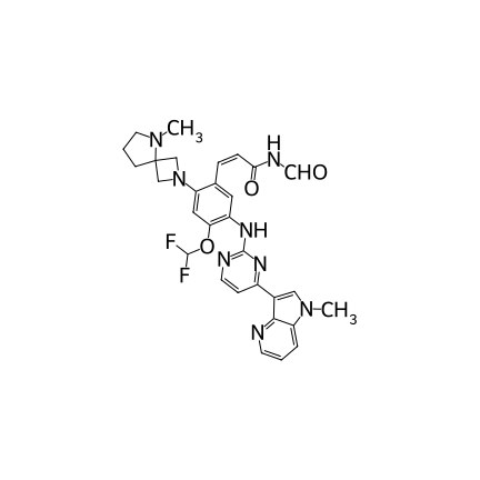 CN1CCCC12CN(c1cc(OC(F)F)c(Nc3nccc(-c4cn(C)c5cccnc45)n3)cc1C=CC(=O)NC=O)C2